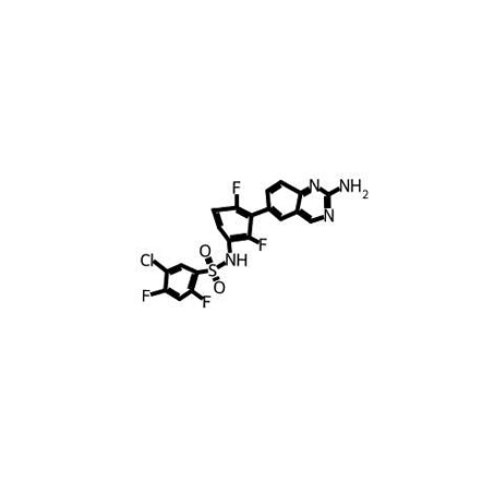 Nc1ncc2cc(-c3c(F)ccc(NS(=O)(=O)c4cc(Cl)c(F)cc4F)c3F)ccc2n1